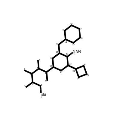 CCC(C)CC(C)C(C)C(C)C(C)C1CC(CC2CCCCC2)C(NC)C(C2CCC2)C1